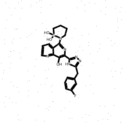 Oc1c(-c2nnc(Cc3cccc(F)c3)[nH]2)nc(N2CCCCS2(O)O)c2cccnc12